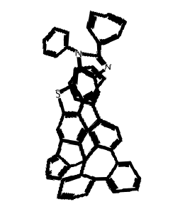 c1ccc(-c2nc3cc(-c4ccc5c(c4)C4(c6ccccc6-c6ccccc6-5)c5ccccc5-c5cc6sc7ccccc7c6cc54)ccc3n2-c2ccccc2)cc1